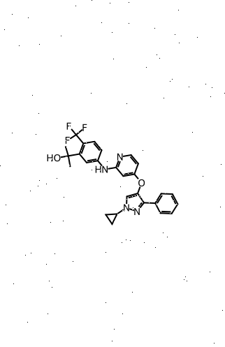 CC(C)(O)c1cc(Nc2cc(Oc3cn(C4CC4)nc3-c3ccccc3)ccn2)ccc1C(F)(F)F